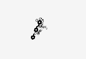 COc1cc2c(Cc3ccc(OCc4ccccc4)c([N+](=O)[O-])c3)nc(N)nc2c(OC)c1OC